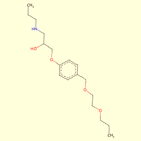 CCCNCC(O)COc1ccc(COCCOCCC)cc1